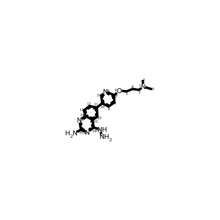 CN(C)CCCOc1ccc(-c2ccc3nc(N)nc(NN)c3c2)cn1